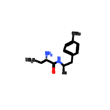 COc1ccc(C[C@H](NC(=O)[C@@H](N)CC(=O)O)C(C)=O)cc1